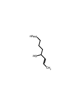 CC=CC(O)CCCCCCCC